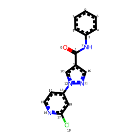 O=C(Nc1ccccc1)c1cnn(-c2ccnc(Cl)c2)c1